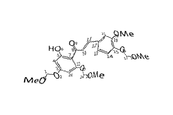 COCOc1cc(O)c(C(=O)/C=C/c2ccc(OCOC)c(OC)c2)c(OCOC)c1